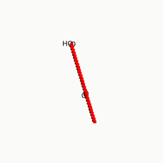 CCCCCCCCC=CCCCCCCCCCC(=O)OCCCCCCCCCCCCCCCCCCCCCCCCCCCCCCCCCC(=O)O